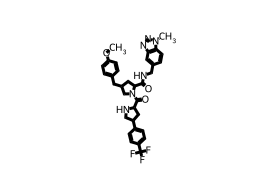 COc1ccc(CC2CC(C(=O)NCc3ccc4c(c3)nnn4C)N(C(=O)C3CC(c4ccc(C(F)(F)F)cc4)CN3)C2)cc1